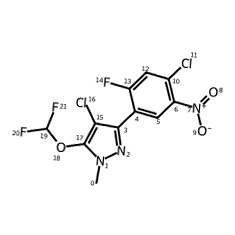 Cn1nc(-c2cc([N+](=O)[O-])c(Cl)cc2F)c(Cl)c1OC(F)F